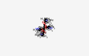 CON1C(C)(C)CC(C(=O)OCC(CCC(COC(=O)C2CC(C)(C)N(OC)C2(C)C)OC(=O)C2CC(C)(C)NC2(C)C)OC(=O)C2CC(C)(C)NC2(C)C)C1(C)C